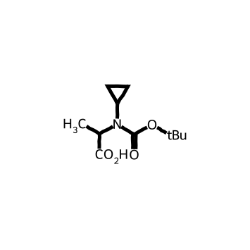 CC(C(=O)O)N(C(=O)OC(C)(C)C)C1CC1